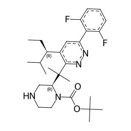 CC[C@@H](c1cc(-c2c(F)cccc2F)nnc1C(C)(C)[C@@H]1CNCCN1C(=O)OC(C)(C)C)C(C)C